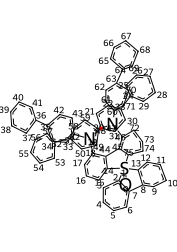 O=S12(c3ccccc3-c3ccccc31)c1cccc(N(c3ccc(-c4ccccc4)cc3)c3ccc(-c4ccccc4)cc3)c1-c1c(N(c3ccc(-c4ccccc4)cc3)c3ccc(-c4ccccc4)cc3)cccc12